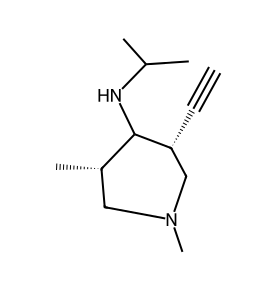 C#C[C@@H]1CN(C)C[C@H](C)C1NC(C)C